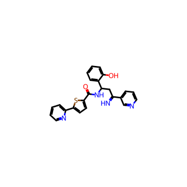 N=C(CC(NC(=O)c1ccc(-c2ccccn2)s1)c1ccccc1O)c1cccnc1